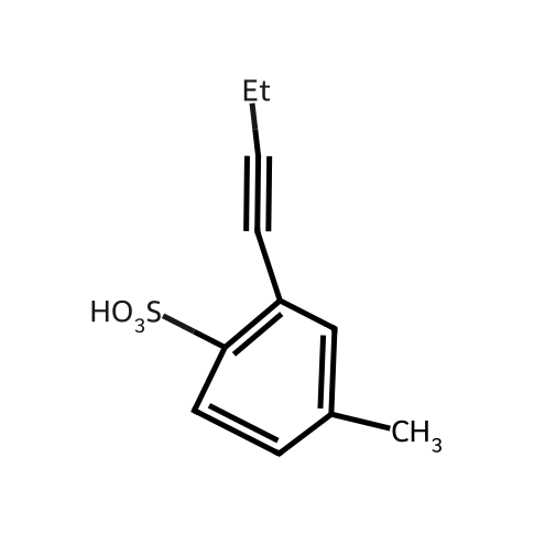 CCC#Cc1cc(C)ccc1S(=O)(=O)O